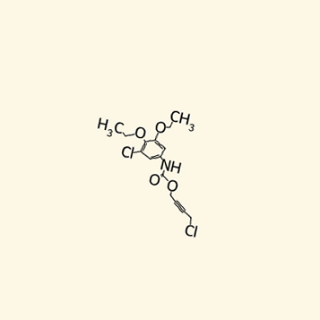 CCOc1cc(NC(=O)OCC#CCCl)cc(Cl)c1OCC